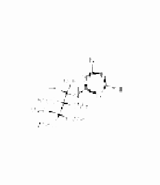 COC(O)(Nc1nc(N)nc(N)n1)C(OC)(OC)C(OC)(OC)OC